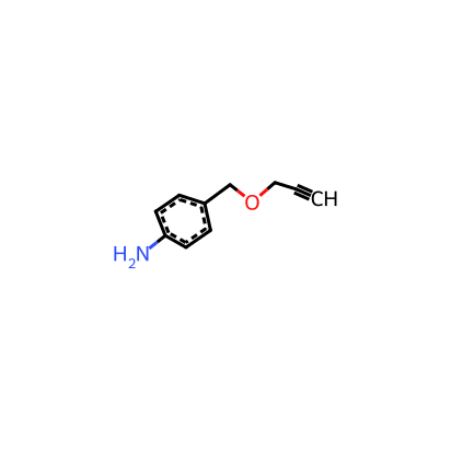 C#CCOCc1ccc(N)cc1